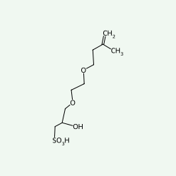 C=C(C)CCOCCOCC(O)CS(=O)(=O)O